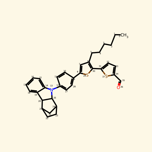 CCCCCCc1cc(-c2ccc(N3c4ccccc4C4C5CCC(C5)C43)cc2)sc1-c1ccc(C=O)s1